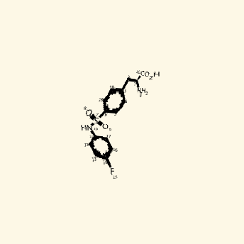 N[C@@H](Cc1ccc(S(=O)(=O)Nc2ccc(F)cc2)cc1)C(=O)O